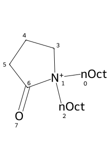 CCCCCCCC[N+]1(CCCCCCCC)CCCC1=O